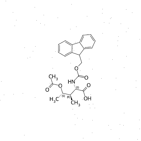 CC(=O)O[C@@H](C)[C@H](C)[C@H](NC(=O)OCC1c2ccccc2-c2ccccc21)C(=O)O